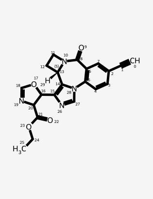 C#Cc1ccc2c(c1)C(=O)N1CC[C@H]1c1c(C3OC=NC3C(=O)OCC)ncn1-2